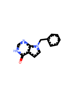 O=c1[nH]cnc2c1ccn2Cc1ccccc1